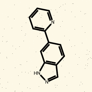 [c]1ccnc(-c2ccc3cn[nH]c3c2)c1